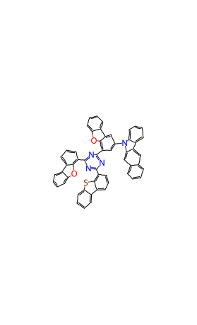 c1ccc2cc3c(cc2c1)c1ccccc1n3-c1cc(-c2nc(-c3cccc4c3oc3ccccc34)nc(-c3cccc4c3sc3ccccc34)n2)c2oc3ccccc3c2c1